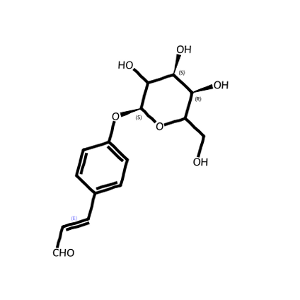 O=C/C=C/c1ccc(O[C@@H]2OC(CO)[C@H](O)[C@H](O)C2O)cc1